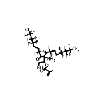 C=C(C)C(=O)OC(CN)C(N)(C(=O)C(F)(F)CCC(F)(F)C(F)(F)C(F)(F)C(F)(F)F)C(=O)C(F)(F)CCC(F)(F)C(F)(F)C(F)(F)C(F)(F)F